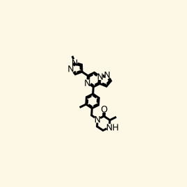 Cc1cc(-c2nc(-c3cnn(C)c3)cn3nccc23)ccc1CN1CCNC(C)C1=O